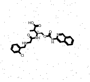 CC(C(=O)O)[C@@H](COC(=O)Nc1cc2ccccc2cn1)NC(=O)CNCc1ccccc1Cl